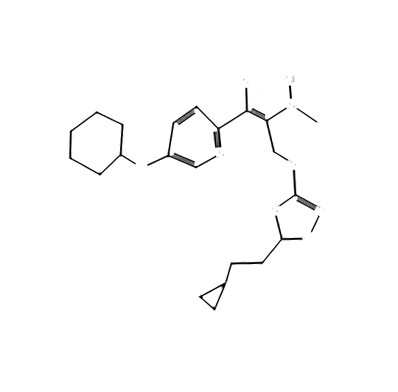 CN(N)/C(CNC1=NOC(CCC2CC2)N1)=C(\N)c1ccc(OC2CCCCC2)cn1